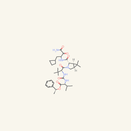 CC(C)[C@H](NC(=O)N[C@H](C(=O)N1C[C@H]2[C@@H]([C@H]1C(=O)NC(CC1CCC1)C(=O)C(N)=O)C2(C)C)C(C)(C)C)C(=O)O[C@@H](C)c1ccccc1